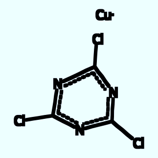 Clc1nc(Cl)nc(Cl)n1.[Cu]